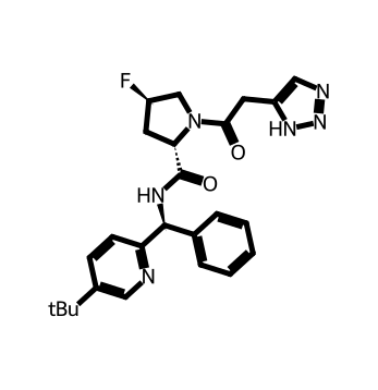 CC(C)(C)c1ccc([C@@H](NC(=O)[C@@H]2C[C@@H](F)CN2C(=O)Cc2cnn[nH]2)c2ccccc2)nc1